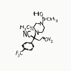 C=CCC(C#N)(c1ccc(C(F)(F)F)cc1)N1CCN(B(C)O)C[C@@H]1C